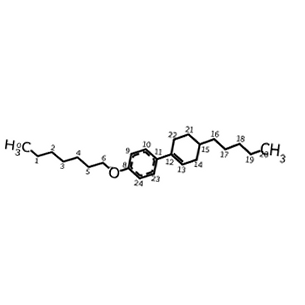 CCCCCCCOc1ccc(C2=CCC(CCCCC)CC2)cc1